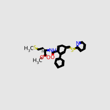 COC(=O)[C@H](CCSC)NC(=O)C1=CCC(=CSc2ccccn2)C=C1c1ccccc1